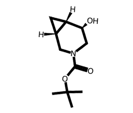 CC(C)(C)OC(=O)N1C[C@@H]2C[C@@H]2[C@@H](O)C1